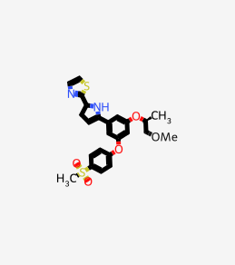 COC[C@H](C)Oc1cc(Oc2ccc(S(C)(=O)=O)cc2)cc(C2=CCC(c3nccs3)N2)c1